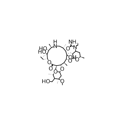 CC[C@H]1OC(=O)[C@H](C)[C@@H](O[C@H]2C[C@@](C)(OC)C(CO)[C@H](C)O2)[C@H](C)[C@@H](O[C@@H]2O[C@H](C)CC(N(C)C(N)=O)[C@H]2C)[C@](C)(O)C[C@@H](C)CN[C@H](C)[C@@H](O)[C@]1(C)O